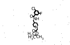 CC(C)(C)OC(=O)CN1CCC(CNC(=O)c2cc(F)cc(Cl)c2)CC1